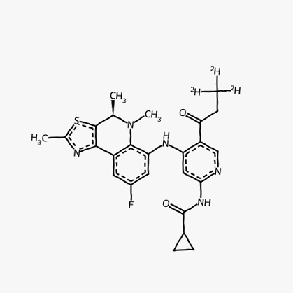 [2H]C([2H])([2H])CC(=O)c1cnc(NC(=O)C2CC2)cc1Nc1cc(F)cc2c1N(C)[C@H](C)c1sc(C)nc1-2